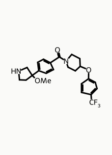 COC1(c2ccc(C(=O)N3CCC(Oc4ccc(C(F)(F)F)cc4)CC3)cc2)CCNC1